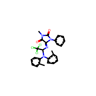 Cc1ccccc1N(c1ccccc1C)C(/N=C1\C(=O)N(C)C(=O)N1c1ccccc1)C(Cl)(Cl)Cl